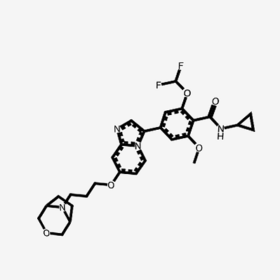 COc1cc(-c2cnc3cc(OCCCN4C5CCC4COC5)ccn23)cc(OC(F)F)c1C(=O)NC1CC1